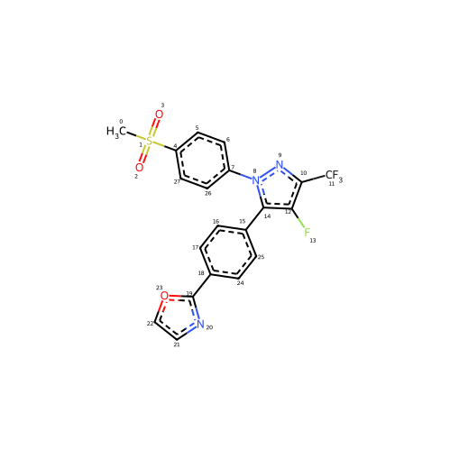 CS(=O)(=O)c1ccc(-n2nc(C(F)(F)F)c(F)c2-c2ccc(-c3ncco3)cc2)cc1